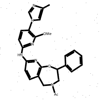 COc1nc(Nc2ccc3c(n2)OC(c2ccccc2)CN(C(C)=O)C3)ccc1-n1cnc(C)c1